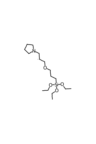 CCO[Si](CCCOC[CH]CN1CCCC1)(OCC)OCC